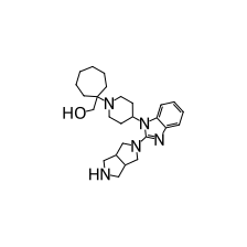 OCC1(N2CCC(n3c(N4CC5CNCC5C4)nc4ccccc43)CC2)CCCCCC1